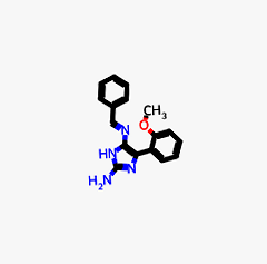 COc1ccccc1-c1nc(N)[nH]c1N=Cc1ccccc1